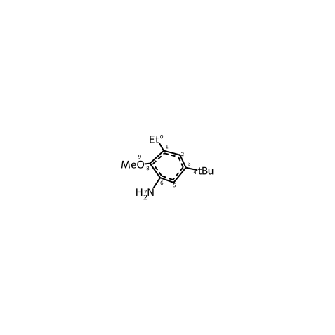 CCc1cc(C(C)(C)C)cc(N)c1OC